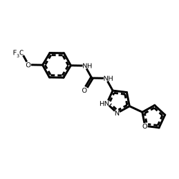 O=C(Nc1ccc(OC(F)(F)F)cc1)Nc1cc(-c2ccco2)n[nH]1